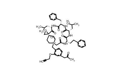 C#CCOc1cc(CC(C)=O)ccc1C[N+]1(CC(=O)N[C@@H](CCc2ccccc2)C(=O)N[C@@H](CC(C)C)C(=O)N[C@@H](Cc2ccccc2)C(=O)N[C@@H](CC(C)C)C(=O)[C@@]2(C)CO2)CCCCC1